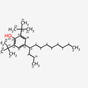 CCCCCCCCC(CCC)c1cc(C(C)(C)C)c(O)c(C(C)(C)C)c1